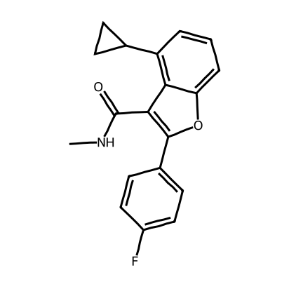 CNC(=O)c1c(-c2ccc(F)cc2)oc2cccc(C3CC3)c12